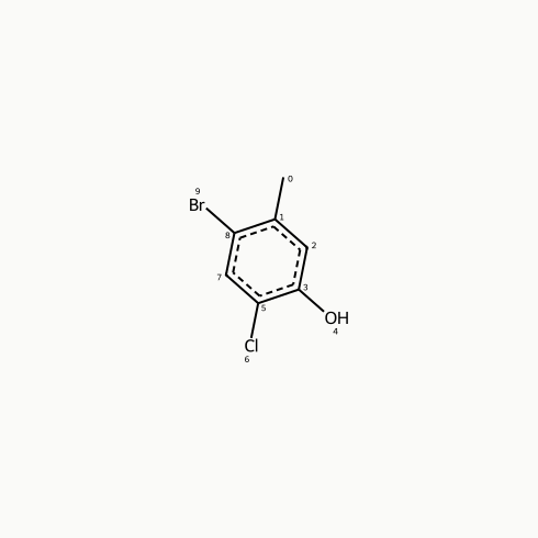 Cc1cc(O)c(Cl)cc1Br